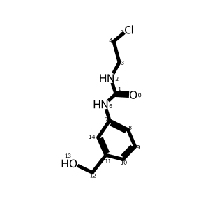 O=C(NCCCl)Nc1cccc(CO)c1